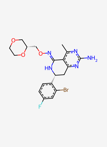 Cc1nc(N)nc2c1/C(=N/OC[C@H]1COCCO1)N[C@@H](c1ccc(F)cc1Br)C2